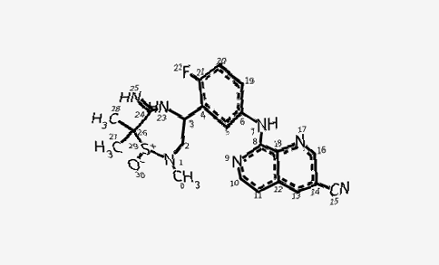 CN1CC(c2cc(Nc3nccc4cc(C#N)cnc34)ccc2F)NC(=N)C(C)(C)[S+]1[O-]